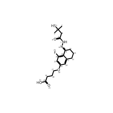 CC(C)(S)CC(=O)NN=C1CCCc2cc(OCCCC(=O)O)cc(F)c21